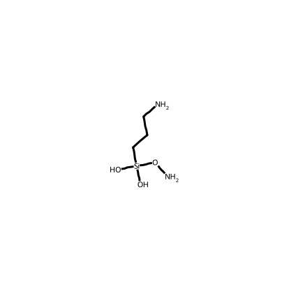 NCCC[Si](O)(O)ON